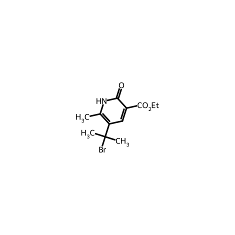 CCOC(=O)c1cc(C(C)(C)Br)c(C)[nH]c1=O